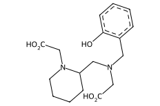 O=C(O)CN(Cc1ccccc1O)CC1CCCCN1CC(=O)O